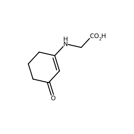 O=C(O)CNC1=CC(=O)CCC1